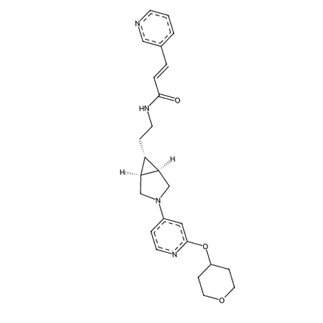 O=C(/C=C/c1cccnc1)NCC[C@@H]1[C@H]2CN(c3ccnc(OC4CCOCC4)c3)C[C@@H]12